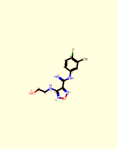 N#Cc1cc(NC(=N)c2nonc2NCCO)ccc1F